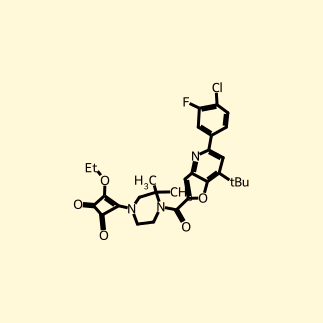 CCOc1c(N2CCN(C(=O)c3cc4nc(-c5ccc(Cl)c(F)c5)cc(C(C)(C)C)c4o3)C(C)(C)C2)c(=O)c1=O